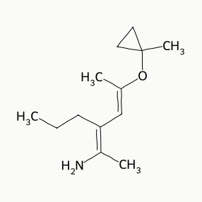 CCCC(/C=C(\C)OC1(C)CC1)=C(/C)N